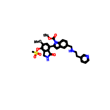 COc1cc(-c2cc3cc(CNCCc4cccnc4)ccc3n2C(=O)OC(C)(C)C)c2c(c1OS(C)(=O)=O)CNC2=O